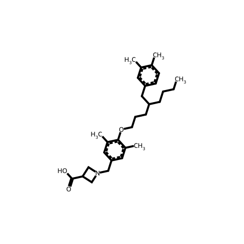 CCCCC(CCCOc1c(C)cc(CN2CC(C(=O)O)C2)cc1C)Cc1ccc(C)c(C)c1